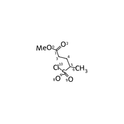 COC(=O)CCC(C)S(=O)(=O)Cl